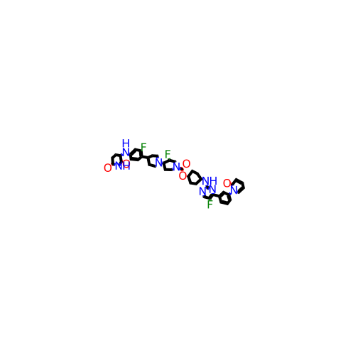 O=C1CCC(Nc2ccc(C3CCN(C4CCN(C(=O)O[C@H]5CC[C@H](Nc6ncc(F)c(-c7cccc(-n8ccccc8=O)c7)n6)CC5)CC4F)CC3)c(F)c2)C(=O)N1